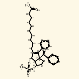 C=C(c1ccccc1)[C@@]12CC[C@@H](OS(N)(=O)=O)C1CC(CCCCCCCCCC(=O)O)=C2c1ccccc1